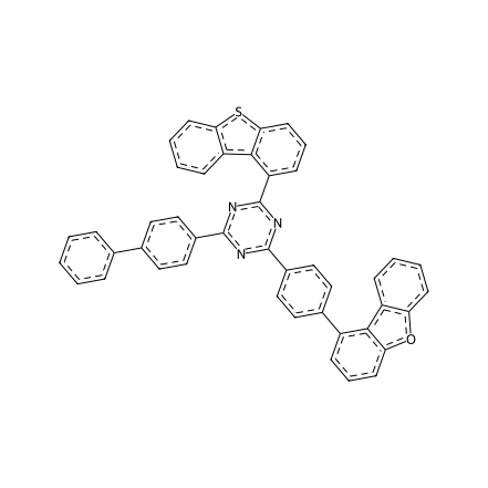 c1ccc(-c2ccc(-c3nc(-c4ccc(-c5cccc6oc7ccccc7c56)cc4)nc(-c4cccc5sc6ccccc6c45)n3)cc2)cc1